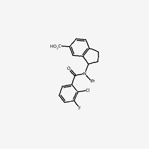 CC(C)N(C(=O)c1cccc(F)c1Cl)C1CCc2ccc(C(=O)O)cc21